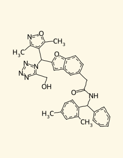 Cc1ccc(C(NC(=O)Cc2ccc3oc(C(c4c(C)noc4C)n4nnnc4CO)cc3c2)c2ccccc2)c(C)c1